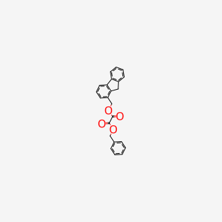 O=C(OCc1ccccc1)C(=O)OCc1cccc2c1Cc1ccccc1-2